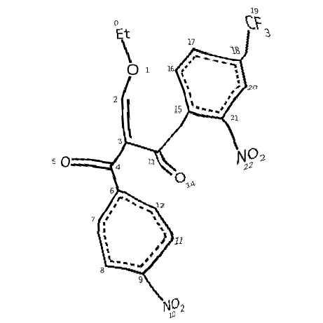 CCOC=C(C(=O)c1ccc([N+](=O)[O-])cc1)C(=O)c1ccc(C(F)(F)F)cc1[N+](=O)[O-]